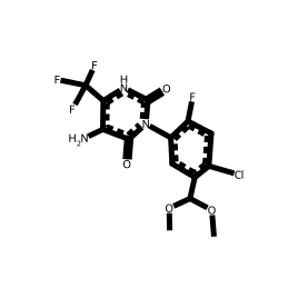 COC(OC)c1cc(-n2c(=O)[nH]c(C(F)(F)F)c(N)c2=O)c(F)cc1Cl